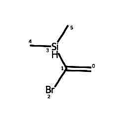 C=C(Br)[SiH](C)C